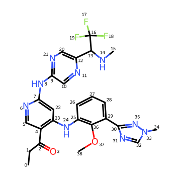 CCC(=O)c1cnc(Nc2cnc(C(NC)C(F)(F)F)cn2)cc1Nc1cccc(-c2ncn(C)n2)c1OC